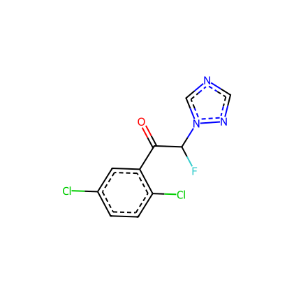 O=C(c1cc(Cl)ccc1Cl)C(F)n1cncn1